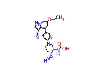 CCOc1cc(-c2ccc(N3CC[C@H](N=[N+]=[N-])[C@H](NC(=O)O)C3)nc2)c2c(C#N)cnn2c1